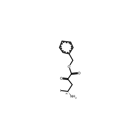 N[C@H](I)CC(=O)C(=O)OCc1ccccc1